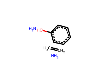 C=C.N.N.Oc1ccccc1